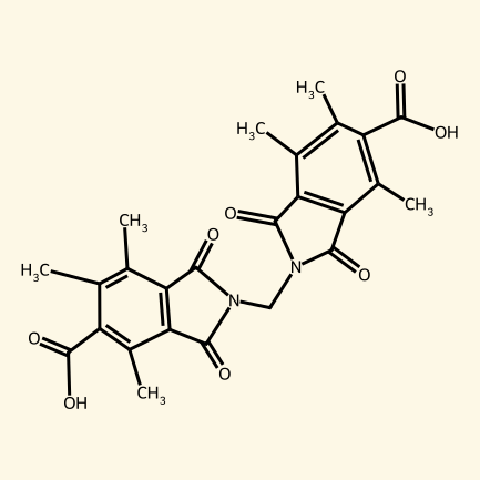 Cc1c(C)c2c(c(C)c1C(=O)O)C(=O)N(CN1C(=O)c3c(C)c(C)c(C(=O)O)c(C)c3C1=O)C2=O